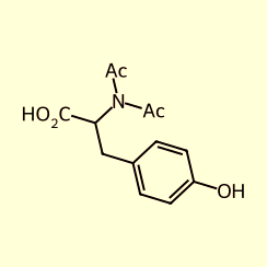 CC(=O)N(C(C)=O)C(Cc1ccc(O)cc1)C(=O)O